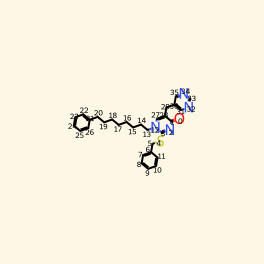 O=c1nc(SCc2ccccc2)n(CCCCCCCCc2ccccc2)cc1Cc1cncnc1